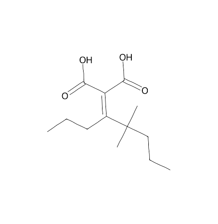 CCCC(=C(C(=O)O)C(=O)O)C(C)(C)CCC